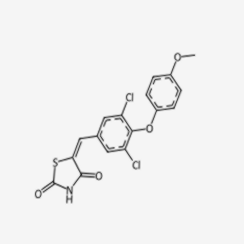 COc1ccc(Oc2c(Cl)cc(/C=C3/SC(=O)NC3=O)cc2Cl)cc1